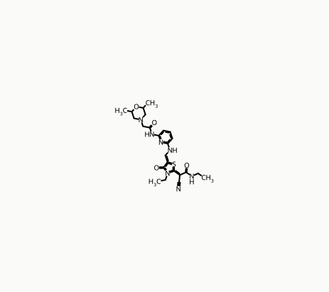 CCNC(=O)C(C#N)=c1sc(=CNc2cccc(NC(=O)CN3CC(C)OC(C)C3)n2)c(=O)n1CC